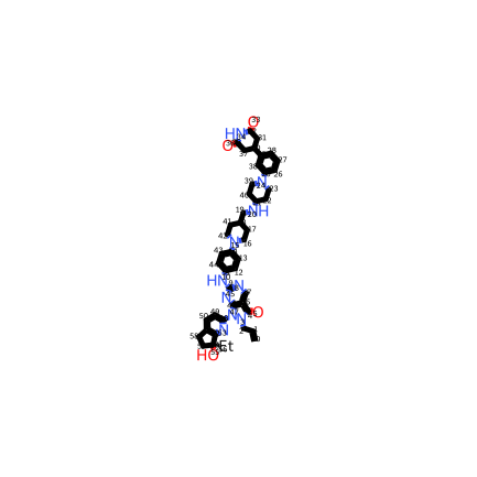 C=CCn1c(=O)c2cnc(Nc3ccc(N4CCC(CNC5CCN(c6cccc(C7CC(=O)NC(=O)C7)c6)CC5)CC4)cc3)nc2n1-c1ccc2c(n1)[C@@](O)(CC)CC2